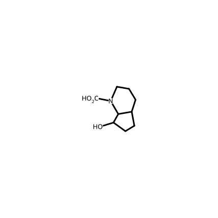 O=C(O)N1CCCC2CCC(O)C21